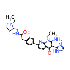 CCN1CCCC1CNC(=O)Cc1ccc(-c2ccc3c(=O)c(-c4ncc[nH]4)c(N)n(CC)c3n2)cc1F